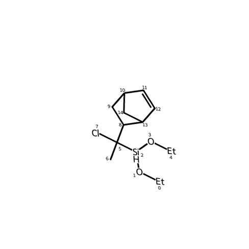 CCO[SiH](OCC)C(C)(Cl)C1CC2C=CC1C2